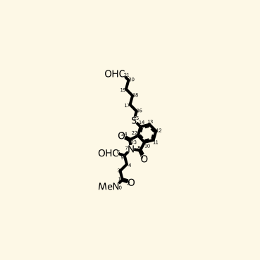 CNC(=O)CCC(C=O)N1C(=O)c2cccc(SCCCCCC=O)c2C1=O